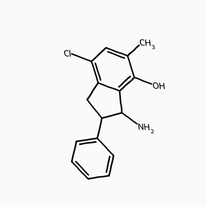 Cc1cc(Cl)c2c(c1O)C(N)C(c1ccccc1)C2